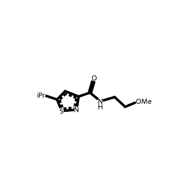 COCCNC(=O)c1cc(C(C)C)sn1